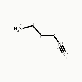 [C-]#[N+]CCC[SiH3]